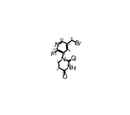 O=C1CCN(c2cc(CBr)cnc2F)C(=O)N1